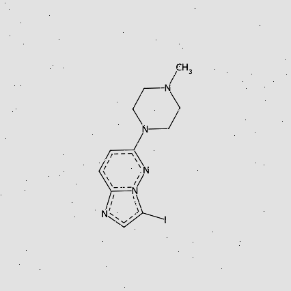 CN1CCN(c2ccc3ncc(I)n3n2)CC1